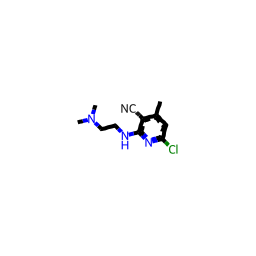 Cc1cc(Cl)nc(NCCN(C)C)c1C#N